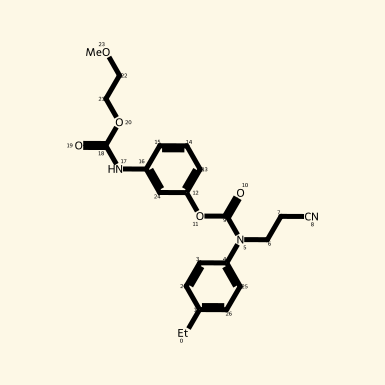 CCc1ccc(N(CCC#N)C(=O)Oc2cccc(NC(=O)OCCOC)c2)cc1